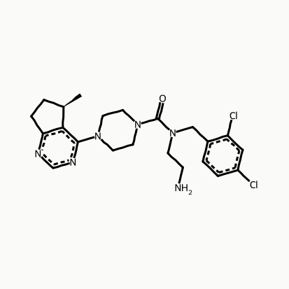 C[C@@H]1CCc2ncnc(N3CCN(C(=O)N(CCN)Cc4ccc(Cl)cc4Cl)CC3)c21